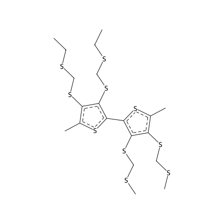 CCSCSc1c(C)sc(-c2sc(C)c(SCSC)c2SCSC)c1SCSCC